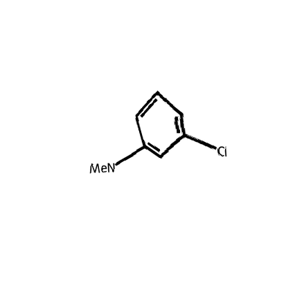 [CH2]Nc1cccc(Cl)c1